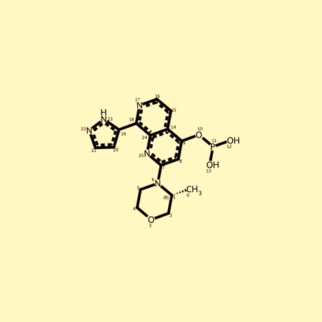 C[C@@H]1COCCN1c1cc(OP(O)O)c2ccnc(-c3ccn[nH]3)c2n1